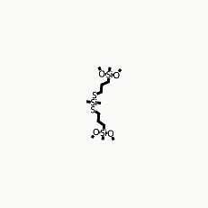 CO[Si](C)(CCCS[Si](C)(C)SCCC[Si](C)(OC)OC)OC